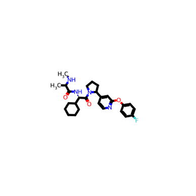 CNC(C)C(=O)N[C@H](C(=O)N1CCCC1c1ccnc(Oc2ccc(F)cc2)c1)C1CCCCC1